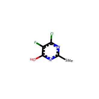 CSc1nc(O)c(F)c(Cl)n1